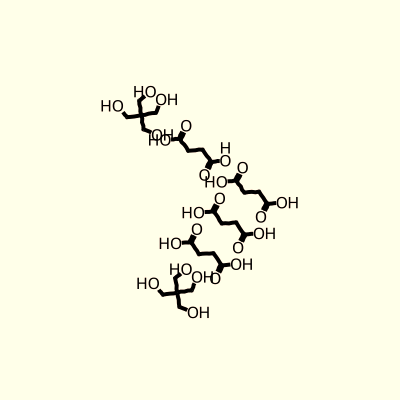 O=C(O)CCC(=O)O.O=C(O)CCC(=O)O.O=C(O)CCC(=O)O.O=C(O)CCC(=O)O.OCC(CO)(CO)CO.OCC(CO)(CO)CO